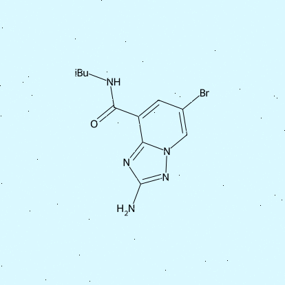 CCC(C)NC(=O)c1cc(Br)cn2nc(N)nc12